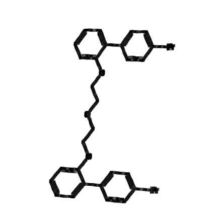 CC(C)c1ccc(-c2ccccc2OCCOCCOc2ccccc2-c2ccc(C(C)C)cc2)cc1